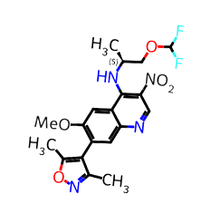 COc1cc2c(N[C@@H](C)COC(F)F)c([N+](=O)[O-])cnc2cc1-c1c(C)noc1C